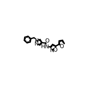 O=C(Nc1cc(-c2ccco2)on1)c1cnn(Cc2ccccc2)c1